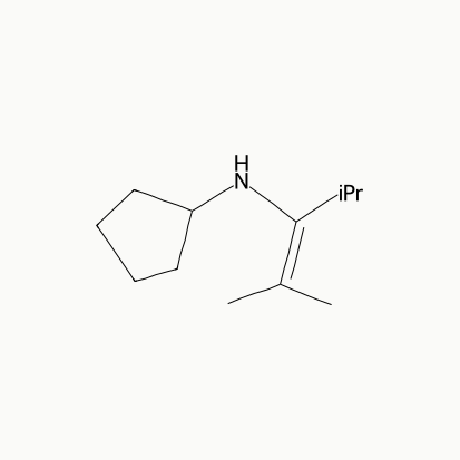 CC(C)=C(NC1CCCC1)C(C)C